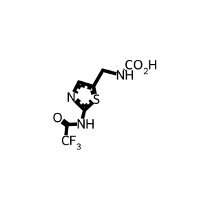 O=C(O)NCc1cnc(NC(=O)C(F)(F)F)s1